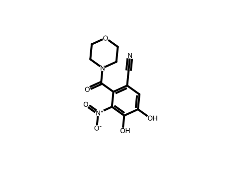 N#Cc1cc(O)c(O)c([N+](=O)[O-])c1C(=O)N1CCOCC1